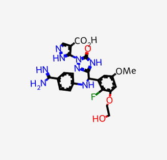 COc1cc(OCCO)c(F)c(C(Nc2ccc(C(=N)N)cc2)c2nn(-c3[nH]ncc3C(=O)O)c(=O)[nH]2)c1